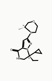 CC[C@@]1(C2CC2)CNC(=O)c2cc(N3CCOC[C@H]3C)nn21